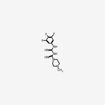 CN1CCN(C(=N)NC(=N)Nc2cc(F)c(F)c(F)c2)CC1